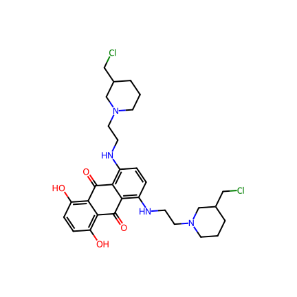 O=C1c2c(O)ccc(O)c2C(=O)c2c(NCCN3CCCC(CCl)C3)ccc(NCCN3CCCC(CCl)C3)c21